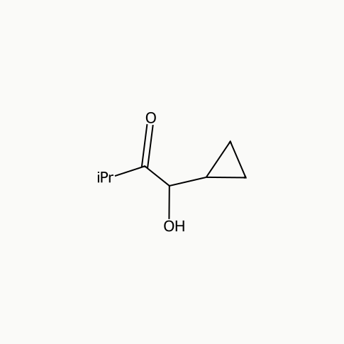 CC(C)C(=O)C(O)C1CC1